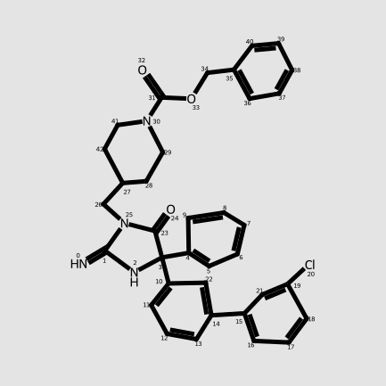 N=C1NC(c2ccccc2)(c2cccc(-c3cccc(Cl)c3)c2)C(=O)N1CC1CCN(C(=O)OCc2ccccc2)CC1